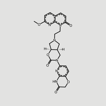 COc1ccc2ccc(=O)n(CCN3C[C@H]4CN(c5ccc6c(n5)NC(=O)CO6)C(=O)O[C@H]4C3)c2n1